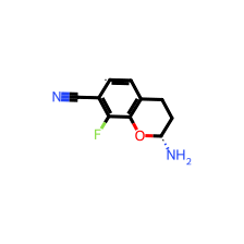 N#Cc1[c]cc2c(c1F)O[C@@H](N)CC2